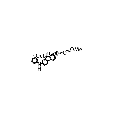 CCCCCCCCC1(CCCCCCCC)c2cc(Nc3ccccc3)ccc2-c2ccc(OCCOCCOC)cc21